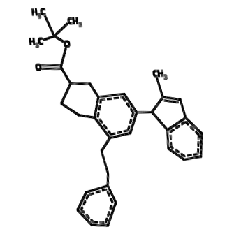 CC1=Cc2ccccc2C1c1cc(CCc2ccccc2)c2c(c1)CC(C(=O)OC(C)(C)C)CC2